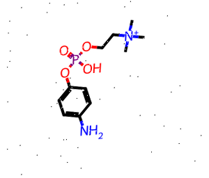 C[N+](C)(C)CCOP(=O)(O)Oc1ccc(N)cc1